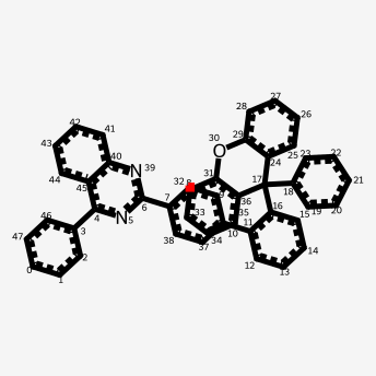 c1ccc(-c2nc(-c3ccc(-c4ccccc4C4(c5ccccc5)c5ccccc5Oc5ccccc54)cc3)nc3ccccc23)cc1